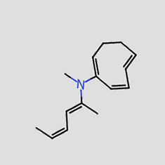 C/C=C\C=C(/C)N(C)C1=C/CC/C=C/C=C\1